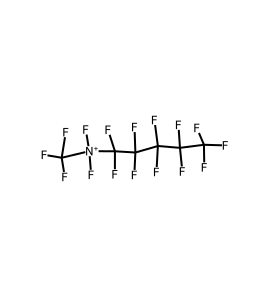 FC(F)(F)C(F)(F)C(F)(F)C(F)(F)C(F)(F)[N+](F)(F)C(F)(F)F